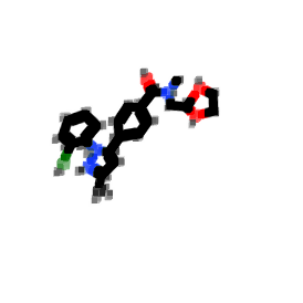 CN(CC1OCCO1)C(=O)c1ccc(-c2cc(C(F)(F)F)nn2-c2ccccc2Cl)cc1